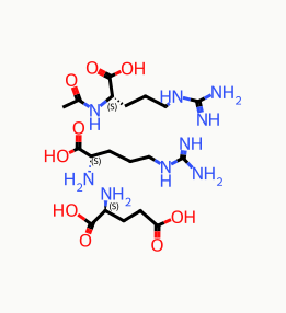 CC(=O)N[C@@H](CCCNC(=N)N)C(=O)O.N=C(N)NCCC[C@H](N)C(=O)O.N[C@@H](CCC(=O)O)C(=O)O